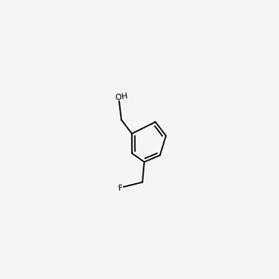 OCc1cccc(CF)c1